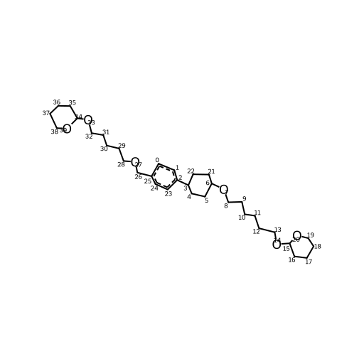 c1cc(C2CCC(OCCCCCCOC3CCCCO3)CC2)ccc1COCCCCCOC1CCCCO1